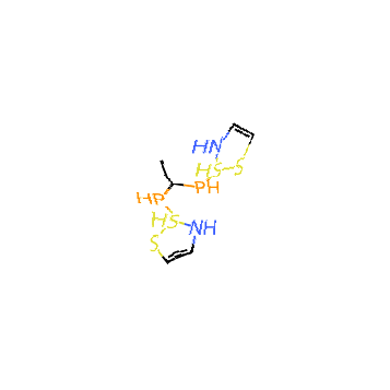 CC(P[SH]1NC=CS1)P[SH]1NC=CS1